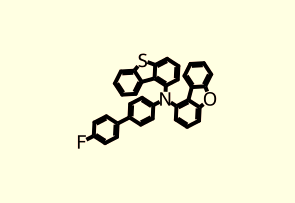 Fc1ccc(-c2ccc(N(c3cccc4oc5ccccc5c34)c3cccc4sc5ccccc5c34)cc2)cc1